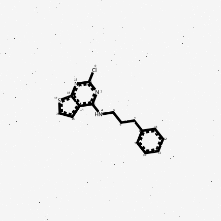 Clc1nc(NCCCc2ccccc2)c2ccsc2n1